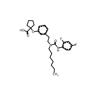 CCCCCCCN(CCc1cccc(OC2(C(=O)O)CCCC2)c1)C(=O)Nc1ccc(F)cc1F